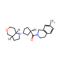 CC(C)[C@]1(C(=O)N2CCc3ccc(C(F)(F)F)cc3C2)CC[C@@H](N2CC[C@@H]3COCC[C@@H]32)C1